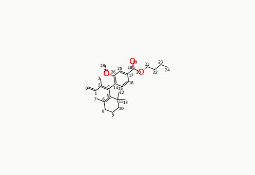 C=C/C(C)=C(\C1=C(C)CCCC1(C)C)c1ccc(C(=O)OCCCC)cc1OC